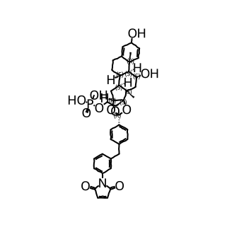 C[C@]12C=CC(O)C=C1CC[C@@H]1[C@@H]2[C@@H](O)C[C@@]2(C)[C@H]1C[C@H]1O[C@@H](c3ccc(Cc4cccc(N5C(=O)C=CC5=O)c4)cc3)O[C@]12C(=O)COP(=O)(O)O